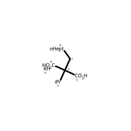 CCCCCCCCC(C(=O)O)(C(=O)O)C(C)C.[KH]